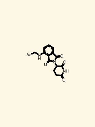 CC(=O)CNc1cccc2c1C(=O)N(C1CCC(=O)NC1=O)C2=O